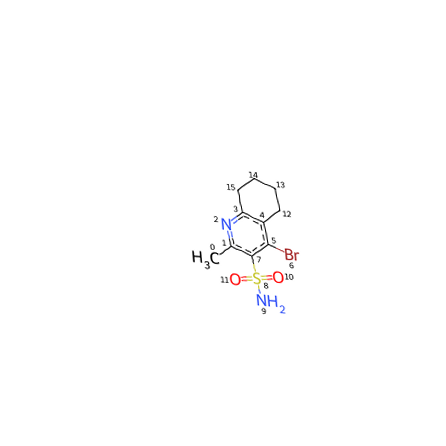 Cc1nc2c(c(Br)c1S(N)(=O)=O)CCCC2